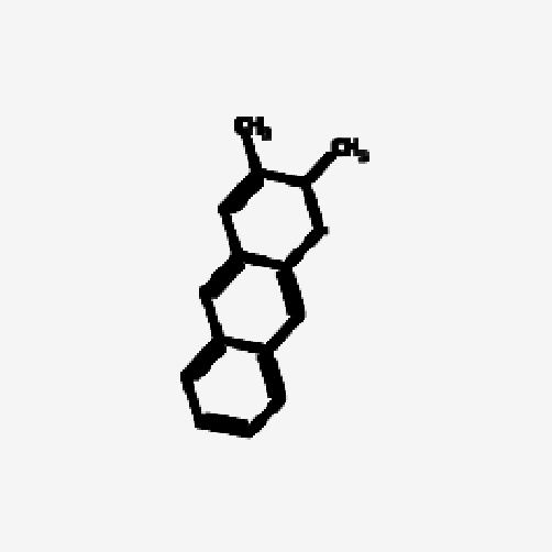 CC1=Cc2cc3ccccc3cc2[C]C1C